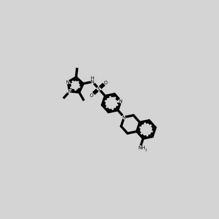 Cc1nn(C)c(C)c1NS(=O)(=O)c1ccc(N2CCc3c(N)cccc3C2)nc1